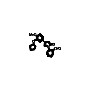 COc1ccc([C@H]2CC(=O)N(c3ccccc3C=O)C2)cc1OC1CCCC1